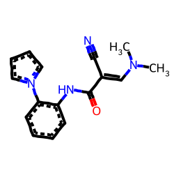 CN(C)C=C(C#N)C(=O)Nc1ccccc1-n1cccc1